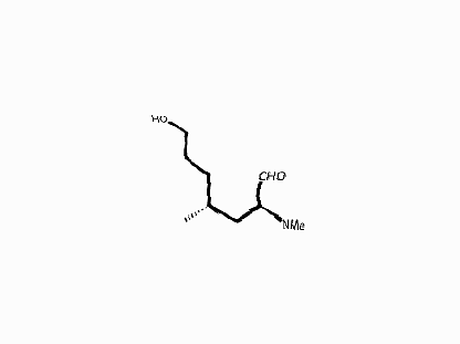 CN[C@H](C=O)C[C@H](C)CCCO